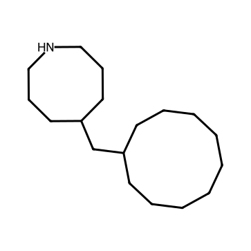 C1CCCCC(CC2CCCNCCC2)CCCC1